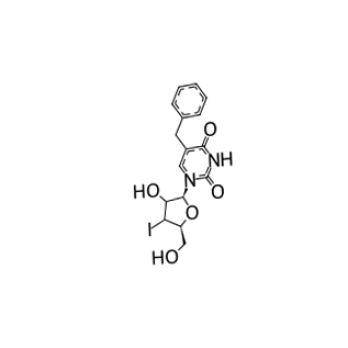 O=c1[nH]c(=O)n([C@H]2O[C@@H](CO)C(I)C2O)cc1Cc1ccccc1